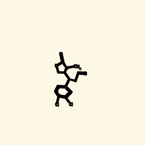 CN1C(=O)OCC1[C@@H](CC=O)c1ccc(Cl)c(Cl)c1